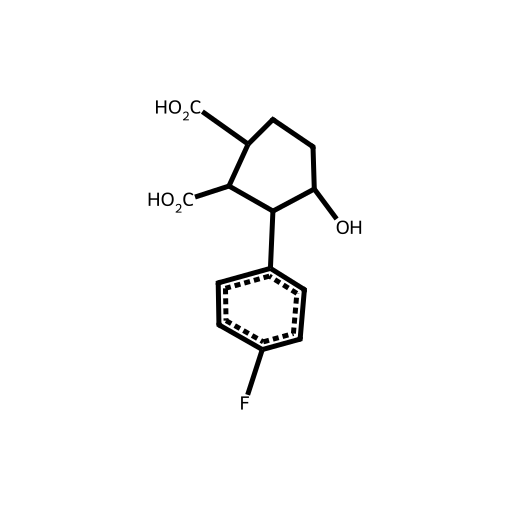 O=C(O)C1CCC(O)C(c2ccc(F)cc2)C1C(=O)O